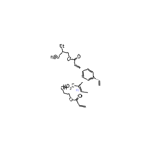 C/C=C(\C)C(=O)O.C=CC(=O)OCC(CC)CCCC.C=CC(=O)OCCO.C=Cc1ccccc1